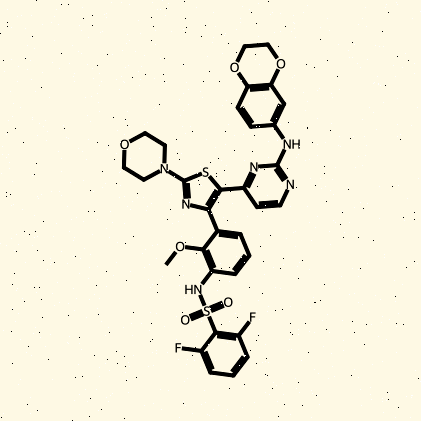 COc1c(NS(=O)(=O)c2c(F)cccc2F)cccc1-c1nc(N2CCOCC2)sc1-c1ccnc(Nc2ccc3c(c2)OCCO3)n1